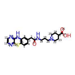 O=C(Cc1ccc2c(c1)Nc1nccnc1S2)NCCCN1CCC(C(=O)O)CC1